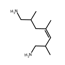 CC(=CC(C)CN)CC(C)CN